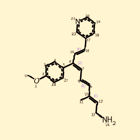 COc1ccc(C(=C\C=C\C(C)=C\CN)/C=C/c2cccnc2)cc1